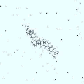 COCc1nc2cc(-c3ccnc4c3cc(CN3CCC(c5ccc(C(=O)OC)cc5)CC3)n4C)ccc2[nH]1